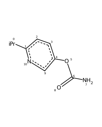 CC(C)c1ccc(OC(N)=O)cn1